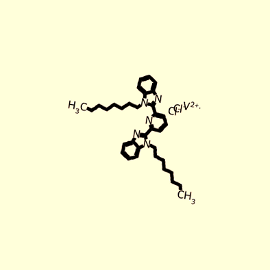 CCCCCCCCn1c(-c2cccc(-c3nc4ccccc4n3CCCCCCCC)n2)nc2ccccc21.[Cl-].[Cl-].[V+2]